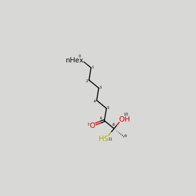 CCCCCCCCCCCC(=O)[C@@](C)(O)S